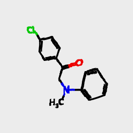 CN(CC(=O)c1ccc(Cl)cc1)c1ccccc1